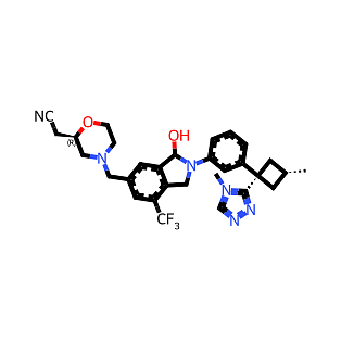 Cn1cnnc1[C@]1(c2cccc(N3Cc4c(cc(CN5CCO[C@H](CC#N)C5)cc4C(F)(F)F)C3O)c2)C[C@H](C)C1